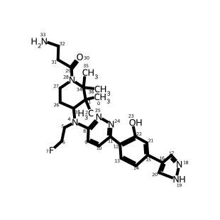 CC1(C)C(N(CCF)c2ccc(-c3ccc(-c4cn[nH]c4)cc3O)nn2)CCN(C(=O)CCN)C1(C)C